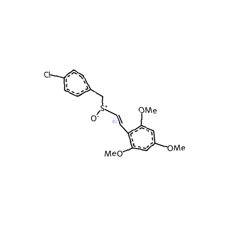 COc1cc(OC)c(/C=C/[S+]([O-])Cc2ccc(Cl)cc2)c(OC)c1